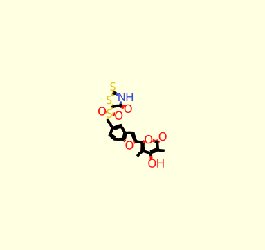 Cc1c(-c2cc3cc(CS(=O)(=O)C4SC(=S)NC4=O)ccc3o2)oc(=O)c(C)c1O